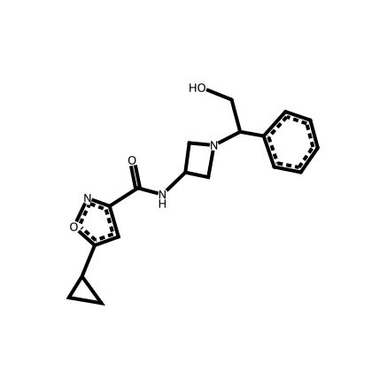 O=C(NC1CN(C(CO)c2ccccc2)C1)c1cc(C2CC2)on1